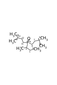 CCC(C)P(=O)(CCC(C)C)CCC(C)C